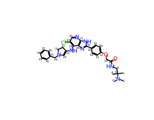 CN(C)C(C)(C)CNC(=O)COc1ccc(-c2nc3c(NC4=CN(Cc5ccccc5)CC4)c(Cl)cnc3[nH]2)cc1